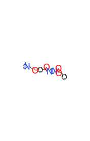 CC1CCCN1CCCOc1ccc(C(=O)CN2CCN(C(=O)OCc3ccccc3)CC2)cc1